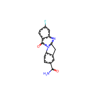 NC(=O)c1ccc2c(c1)Cc1nc3cc(F)ccc3c(=O)n1-2